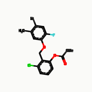 CCc1cc(F)c(OCc2c(Cl)cccc2OC(=O)OC)cc1C